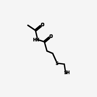 CC(=O)NC(=O)CCSCS